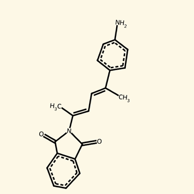 C/C(=C\C=C(/C)N1C(=O)c2ccccc2C1=O)c1ccc(N)cc1